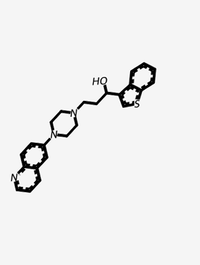 OC(CCN1CCN(c2ccc3ncccc3c2)CC1)c1csc2ccccc12